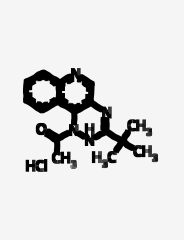 CC(=O)N1NC(C(C)(C)C)=Nc2cnc3ccccc3c21.Cl